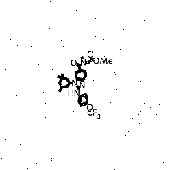 COC(=O)CN(C)C(=O)c1ccc2nc(Nc3ccc(OC(F)(F)F)cc3)n([C@H]3CC(C)CC(C)(C)C3)c2c1